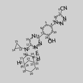 N#Cc1cn(-c2ccc(-c3ncc(N(C4CC4)[C@H]4C[C@@H]5CCC[C@@H](C5)[C@H]4F)nn3)c(O)c2)nn1